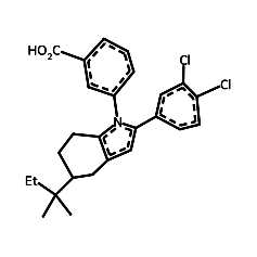 CCC(C)(C)C1CCc2c(cc(-c3ccc(Cl)c(Cl)c3)n2-c2cccc(C(=O)O)c2)C1